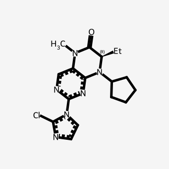 CC[C@@H]1C(=O)N(C)c2cnc(-n3ccnc3Cl)nc2N1C1CCCC1